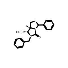 O=C(O)[C@H]1[C@@H]2CSC(c3ccccc3)N2C(=O)N1Cc1ccccc1